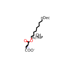 CC(C)=O.CCCCCCCCCCCCCCCCCCOC(=O)/C=C/C(=O)[O-].[Na+]